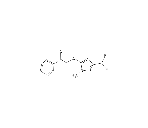 Cn1nc(C(F)F)cc1OCC(=O)c1ccccc1